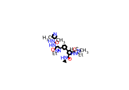 CC[C@@H](NC(=O)c1cc(C(=O)NC2CC2)cc(-c2cccc(-c3cc(NC(=O)Nc4c(C)cncc4C)c(=O)n(CC)n3)c2)c1)N(C)C